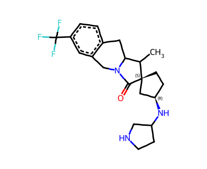 CC1C2Cc3ccc(C(F)(F)F)cc3CN2C(=O)[C@]12CC[C@@H](NC1CCNC1)C2